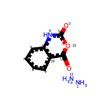 N.N.O=c1[nH]c2ccccc2c(=O)o1